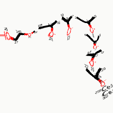 CC(C)[O-].CC(C)[O-].CC(C)[O-].CC(C)[O-].CC(C)[O-].CC(C)[O-].COCCO.[Ce+3].[Ce+3]